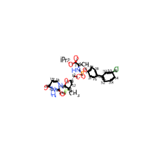 CC(C)OC(=O)[C@H](C)NP(=O)(OC[C@@H]1C[C@@](C)(F)[C@H](n2ccc(=O)[nH]c2=O)O1)Oc1ccc(-c2cccc(Cl)c2)cc1